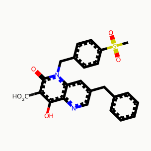 CS(=O)(=O)c1ccc(Cn2c(=O)c(C(=O)O)c(O)c3ncc(Cc4ccccc4)cc32)cc1